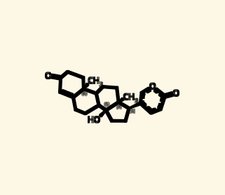 C[C@]12CCC(=O)C=C1CCC1C2CC[C@]2(C)[C@@H](c3ccc(=O)oc3)CC[C@]12O